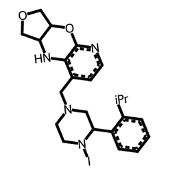 CC(C)c1ccccc1C1CN(Cc2ccnc3c2NC2COCC2O3)CCN1I